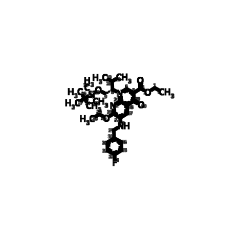 CCOC(=O)c1cn([C@H](CO[Si](C)(C)C(C)(C)C)C(C)C)c2nc(OCC)c(NCc3ccc(F)cc3)cc2c1=O